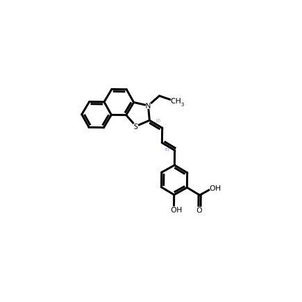 CCN1/C(=C/C=C/c2ccc(O)c(C(=O)O)c2)Sc2c1ccc1ccccc21